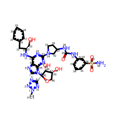 CCn1nnc([C@@]2(n3cnc4c(N[C@H](CO)Cc5ccccc5)nc(N5CCC(NC(=O)Nc6cccc(S(N)(=O)=O)c6)C5)nc43)OC[C@H](O)[C@H]2O)n1